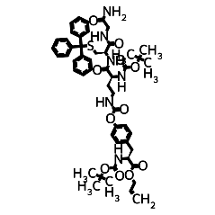 C=CCOC(=O)[C@H](Cc1ccc(OC(=O)NCC[C@H](NC(=O)OC(C)(C)C)C(=O)N[C@@H](CSC(c2ccccc2)(c2ccccc2)c2ccccc2)C(=O)NCC(N)=O)cc1)NC(=O)OC(C)(C)C